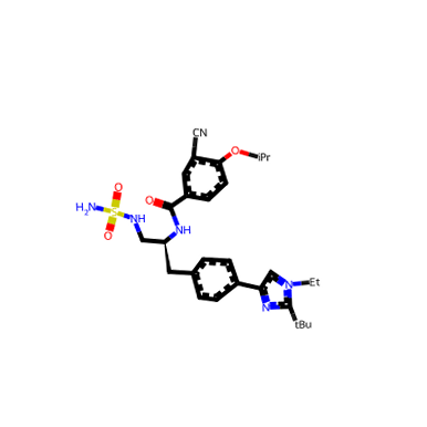 CCn1cc(-c2ccc(C[C@@H](CNS(N)(=O)=O)NC(=O)c3ccc(OC(C)C)c(C#N)c3)cc2)nc1C(C)(C)C